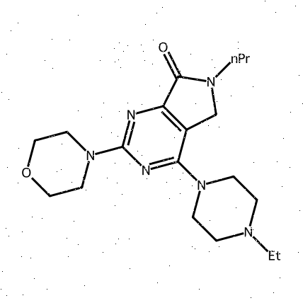 CCCN1Cc2c(nc(N3CCOCC3)nc2N2CCN(CC)CC2)C1=O